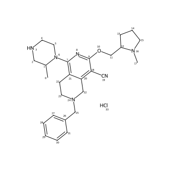 CC1CNCCN1c1nc(OCC2CCCN2C)c(C#N)c2c1CCN(Cc1ccccc1)C2.Cl